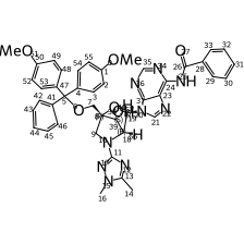 COc1ccc(C(OC[C@@]23CN(c4nc(C)n(C)n4)[C@@H]([C@H](n4cnc5c(NC(=O)c6ccccc6)ncnc54)O2)[C@@H]3O)(c2ccccc2)c2ccc(OC)cc2)cc1